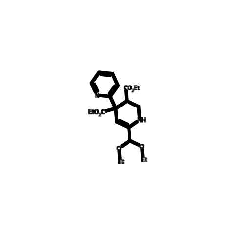 CCOC(=O)C1CNC(C(OCC)OCC)=CC1(C(=O)OCC)c1ccccn1